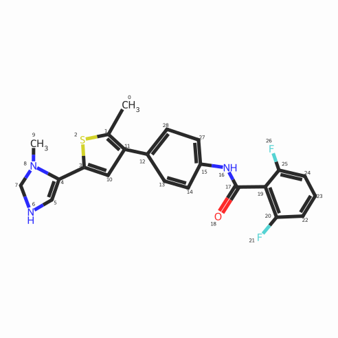 Cc1sc(C2=CNCN2C)cc1-c1ccc(NC(=O)c2c(F)cccc2F)cc1